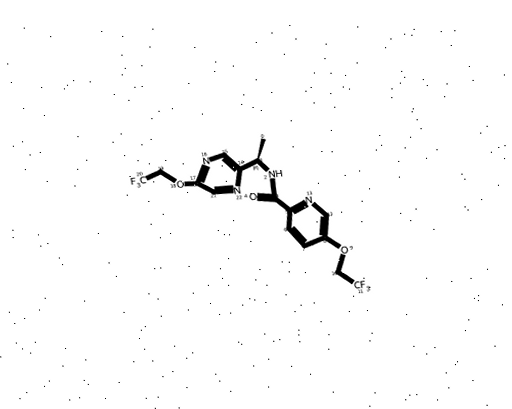 C[C@@H](NC(=O)c1ccc(OCC(F)(F)F)cn1)c1cnc(OCC(F)(F)F)cn1